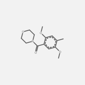 COc1cc(C(=O)N2CCOCC2)c(OC)cc1C